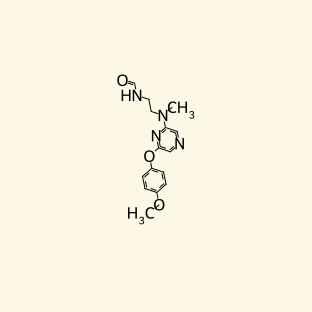 COc1ccc(Oc2cncc(N(C)CCNC=O)n2)cc1